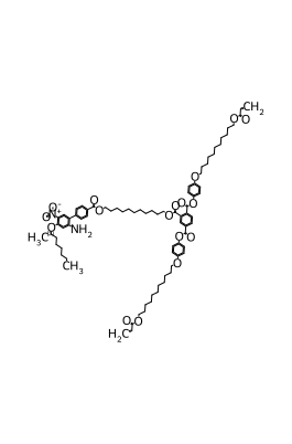 C=CC(=O)OCCCCCCCCCCCOc1ccc(OC(=O)c2ccc(C(=O)Oc3ccc(OCCCCCCCCCCCOC(=O)C=C)cc3)c(C(=O)OCCCCCCCCCCCOC(=O)c3ccc(-c4cc([N+](=O)[O-])c(O[C@@H](C)CCCCCC)cc4N)cc3)c2)cc1